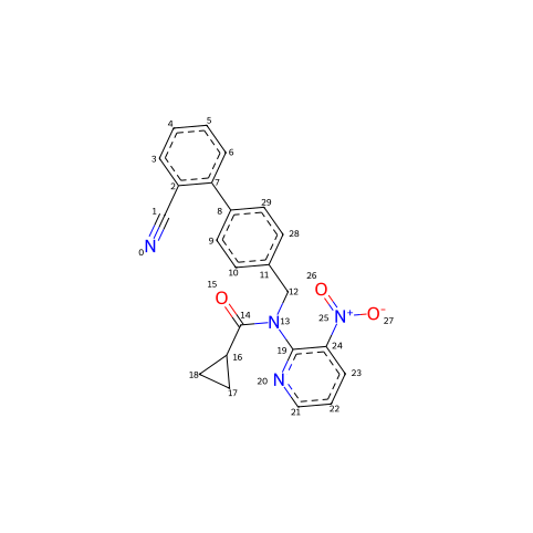 N#Cc1ccccc1-c1ccc(CN(C(=O)C2CC2)c2ncccc2[N+](=O)[O-])cc1